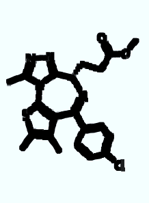 COC(=O)CC[C@@H]1N=C(c2ccc(Cl)cc2)c2c(sc(C)c2C)-n2c(C)nnc21